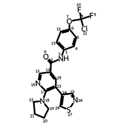 O=C(Nc1ccc(OC(F)(F)Cl)cc1)c1cnc(N2CCCC2)c(-c2cnsc2)c1